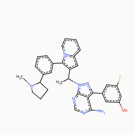 CC(c1cc2ccccn2c1-c1cccc(C2CCCN2C)c1)n1nc(-c2cc(O)cc(F)c2)c2c(N)ncnc21